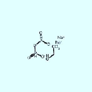 O=[PH]([O-])O[PH](=O)[O-].OCC(Cl)(Cl)Cl.[Na+].[Na+]